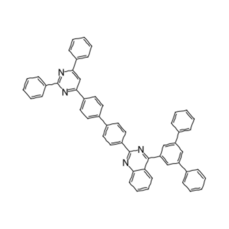 c1ccc(-c2cc(-c3ccccc3)cc(-c3nc(-c4ccc(-c5ccc(-c6cc(-c7ccccc7)nc(-c7ccccc7)n6)cc5)cc4)nc4ccccc34)c2)cc1